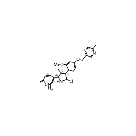 C=C(Cl)/C=C\C(=C/N)[C@@H]1NC(Cl)[C@H](C2CC=C(OCc3cnc(C)cn3)C=C2OC)[C@@H]1C